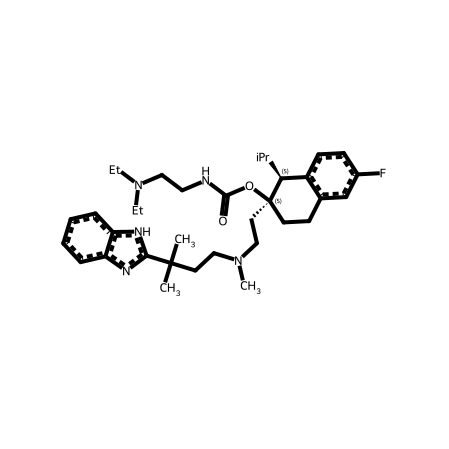 CCN(CC)CCNC(=O)O[C@]1(CCN(C)CCC(C)(C)c2nc3ccccc3[nH]2)CCc2cc(F)ccc2[C@@H]1C(C)C